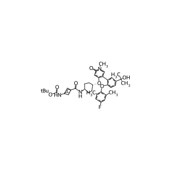 Cc1cc(F)cc(C)c1Oc1ccc(C(C)(C)O)cc1-c1cn(C)c(=O)cc1O[C@H]1CC[C@H](NC(=O)C23CC(NC(=O)OC(C)(C)C)(C2)C3)CC1